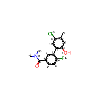 Cc1cc(O)c(-c2cc(C(=O)N(C)C)ccc2F)cc1Cl